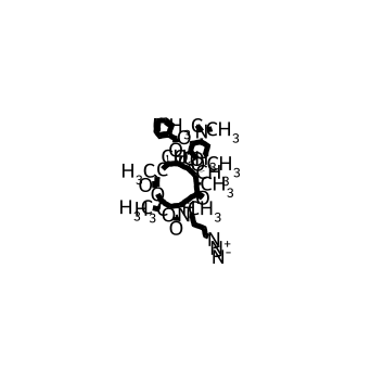 CC[C@H]1OC(=O)[C@H](C)C[C@H](C)[C@@H](O[C@@H]2O[C@H](C)C[C@H](N(C)C)[C@H]2OC(=O)c2ccccc2)[C@@](C)(OC)C[C@@H](C)C(=O)[C@H](C)[C@H]2N(CCCCN=[N+]=[N-])C(=O)O[C@]12C